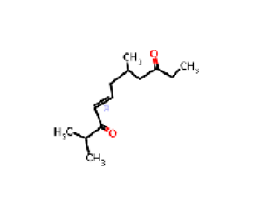 CCC(=O)CC(C)C/C=C/C(=O)C(C)C